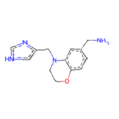 NCc1ccc2c(c1)N(Cc1c[nH]cn1)CCO2